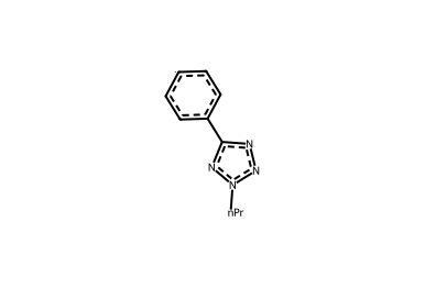 CCCn1nnc(-c2cc[c]cc2)n1